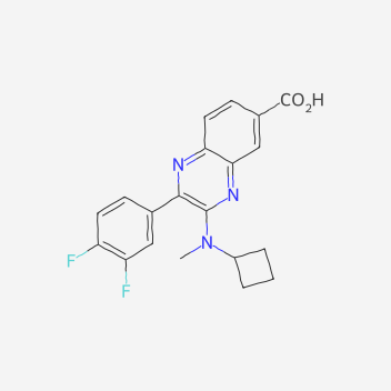 CN(c1nc2cc(C(=O)O)ccc2nc1-c1ccc(F)c(F)c1)C1CCC1